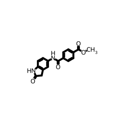 COC(=O)c1ccc(C(=O)Nc2ccc3c(c2)CC(=O)N3)cc1